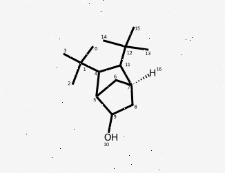 CC(C)(C)C1C2C[C@H](CC2O)C1C(C)(C)C